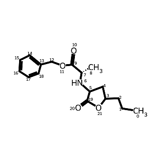 CCCC1CC(N[C@@H](C)C(=O)OCc2ccccc2)C(=O)O1